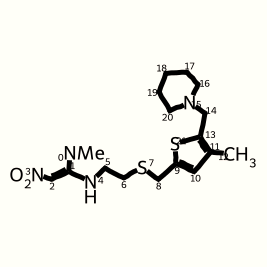 CN/C(=C\[N+](=O)[O-])NCCSCc1cc(C)c(CN2CCCCC2)s1